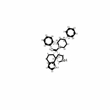 O=C([C@@H]1CNC[C@]12CCCc1ccsc12)N1CC[C@@H](c2ccccc2)C[C@H]1c1ccccc1